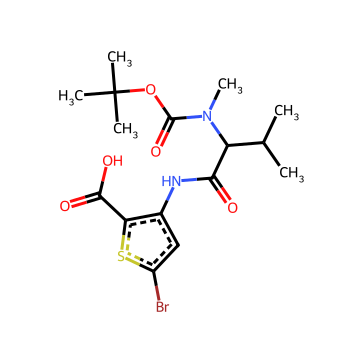 CC(C)C(C(=O)Nc1cc(Br)sc1C(=O)O)N(C)C(=O)OC(C)(C)C